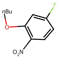 CCCCOc1cc(F)ccc1[N+](=O)[O-]